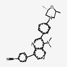 CC1CN(c2ccc(-c3cnc4c(-c5ccc(C#N)cc5)cncc4c3N(C)C)cc2)C[C@H](C)O1